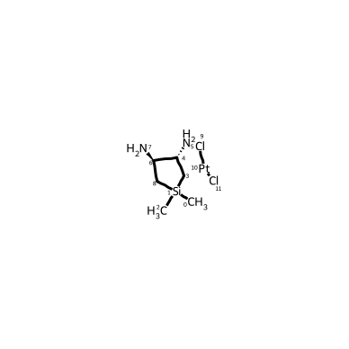 C[Si]1(C)C[C@@H](N)[C@H](N)C1.[Cl][Pt][Cl]